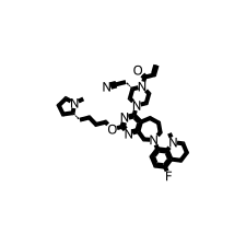 C=CC(=O)N1CCN(c2nc(OCCCC[C@@H]3CCCN3C)nc3c2CCCN(c2ccc(F)c4c2N(C)CCC4)C3)C[C@@H]1CC#N